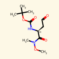 CON(C)C(=O)[C@H](CC=O)NC(=O)OC(C)(C)C